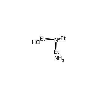 CCN(CC)CC.Cl.N